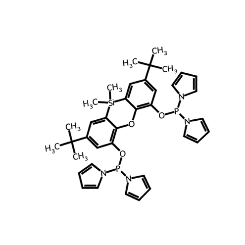 CC(C)(C)c1cc(OP(n2cccc2)n2cccc2)c2c(c1)[Si](C)(C)c1cc(C(C)(C)C)cc(OP(n3cccc3)n3cccc3)c1O2